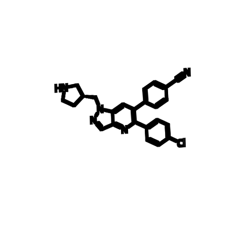 N#Cc1ccc(-c2cc3c(cnn3C[C@H]3CCNC3)nc2-c2ccc(Cl)cc2)cc1